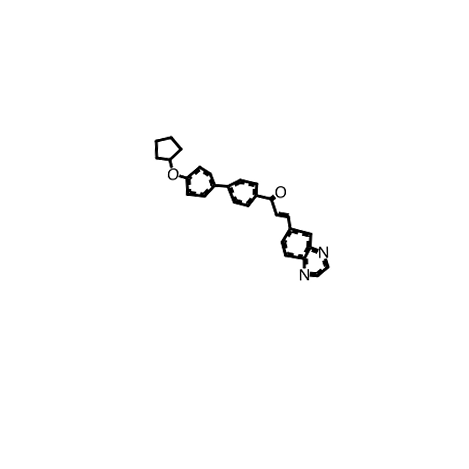 O=C(/C=C/c1ccc2nccnc2c1)c1ccc(-c2ccc(OC3CCCC3)cc2)cc1